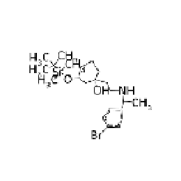 C[C@H](NCC[C@]1(O)CCC[C@@H](O[Si](C)(C)C(C)(C)C)C1)c1ccc(Br)cc1